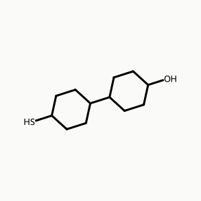 OC1CCC(C2CCC(S)CC2)CC1